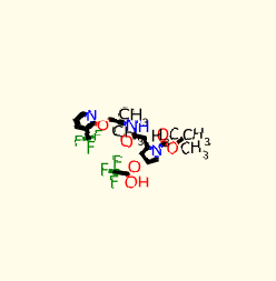 CC(C)(COc1ncccc1C(F)(F)F)NC(=O)CC1CCCN1C(=O)OC(C)(C)C.O=C(O)C(F)(F)F